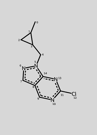 CC1CC1Cn1ncc2cnc(Cl)nc21